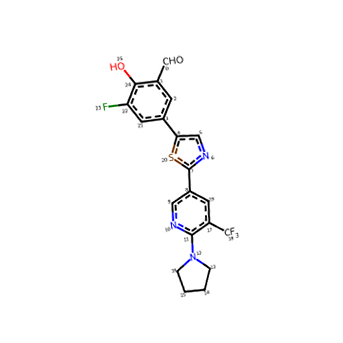 O=Cc1cc(-c2cnc(-c3cnc(N4CCCC4)c(C(F)(F)F)c3)s2)cc(F)c1O